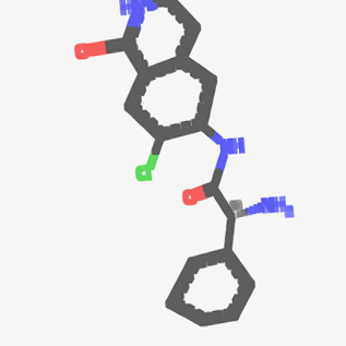 N[C@@H](C(=O)Nc1cc2cc[nH]c(=O)c2cc1Cl)c1ccccc1